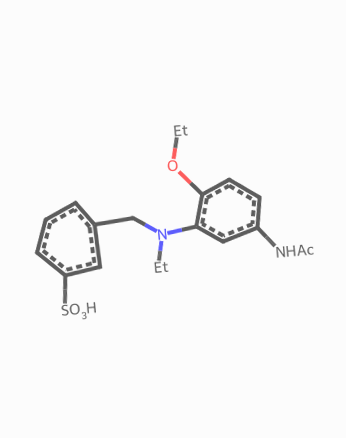 CCOc1ccc(NC(C)=O)cc1N(CC)Cc1cccc(S(=O)(=O)O)c1